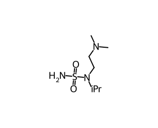 CC(C)N(CCN(C)C)S(N)(=O)=O